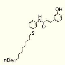 CCCCCCCCCCCCCCCCCCSc1cccc(NC(=O)/C=C/c2cccc(O)c2)c1